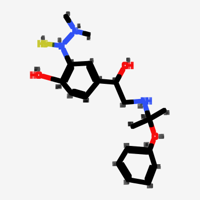 CN(C)N(S)c1cc(C(O)CNC(C)(C)Oc2ccccc2)ccc1O